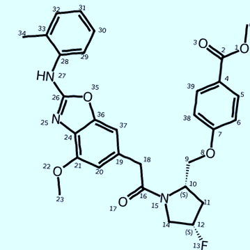 COC(=O)c1ccc(OC[C@@H]2C[C@H](F)CN2C(=O)Cc2cc(OC)c3nc(Nc4ccccc4C)oc3c2)cc1